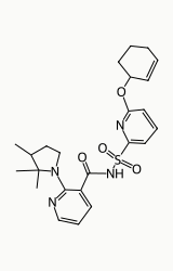 CC1CCN(c2ncccc2C(=O)NS(=O)(=O)c2cccc(OC3C=CCCC3)n2)C1(C)C